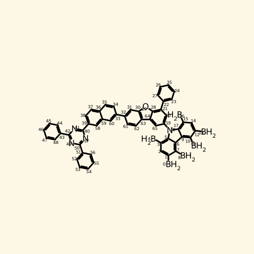 Bc1cc(B)c2c(c1B)c1c(B)c(B)cc(B)c1n2-c1cc(-c2ccccc2)c2oc3cc(-c4ccc5ccc(-c6nc(-c7ccccc7)nc(-c7ccccc7)n6)cc5c4)ccc3c2c1